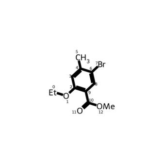 CCOc1cc(C)c(Br)cc1C(=O)OC